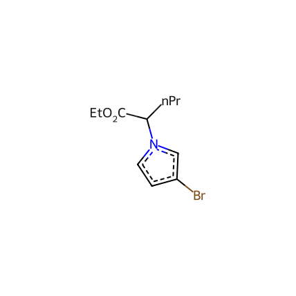 CCCC(C(=O)OCC)n1ccc(Br)c1